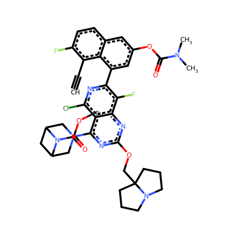 C#Cc1c(F)ccc2cc(OC(=O)N(C)C)cc(-c3nc(Cl)c4c(N5CC6CC(C5)N6C(=O)OC(C)(C)C)nc(OCC56CCCN5CCC6)nc4c3F)c12